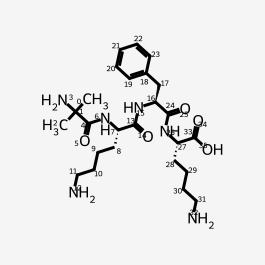 CC(C)(N)C(=O)N[C@@H](CCCCN)C(=O)N[C@@H](Cc1ccccc1)C(=O)N[C@@H](CCCCN)C(=O)O